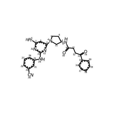 CCCc1cc(N2CC[C@H](NC(=O)CCC(=O)c3ccccc3)C2)nc(Nc2cccc(C#N)c2)n1